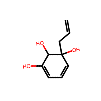 C=CCC1(O)C=CC=C(O)C1O